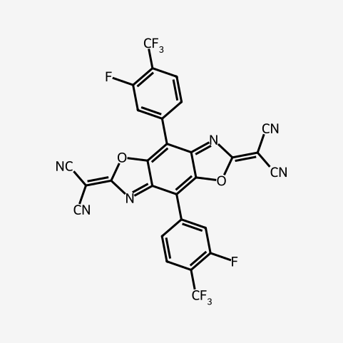 N#CC(C#N)=c1nc2c(-c3ccc(C(F)(F)F)c(F)c3)c3oc(=C(C#N)C#N)nc3c(-c3ccc(C(F)(F)F)c(F)c3)c2o1